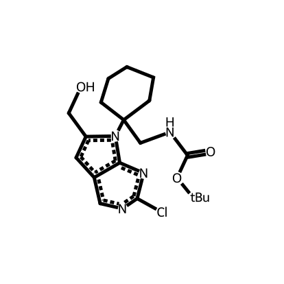 CC(C)(C)OC(=O)NCC1(n2c(CO)cc3cnc(Cl)nc32)CCCCC1